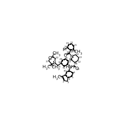 CC1=CCc2ccc(NC(=O)[C@H]3CCCN(C(=O)c4c(C)cccc4F)[C@H]3c3ccc(CN4C[C@H](C)OCC4(C)C)cc3)cc21